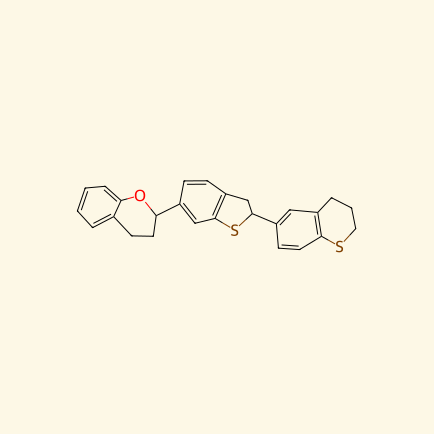 c1ccc2c(c1)CCC(c1ccc3c(c1)SC(c1ccc4c(c1)CCCS4)C3)O2